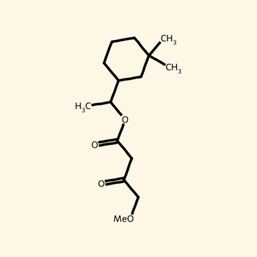 COCC(=O)CC(=O)OC(C)C1CCCC(C)(C)C1